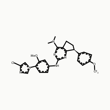 COc1cc(Nc2nc3c(c(N(C)C)n2)CC[C@H]3c2ccc(OC(F)(F)F)cc2)ccc1-n1cnc(Cl)c1